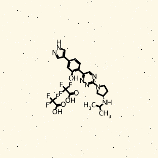 CC(C)N[C@H]1CCN(c2ncc(-c3ccc(-c4cn[nH]c4)cc3O)nn2)C1.O=C(O)C(F)(F)F.O=C(O)C(F)(F)F